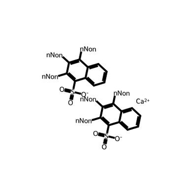 CCCCCCCCCc1c(CCCCCCCCC)c(S(=O)(=O)[O-])c2ccccc2c1CCCCCCCCC.CCCCCCCCCc1c(CCCCCCCCC)c(S(=O)(=O)[O-])c2ccccc2c1CCCCCCCCC.[Ca+2]